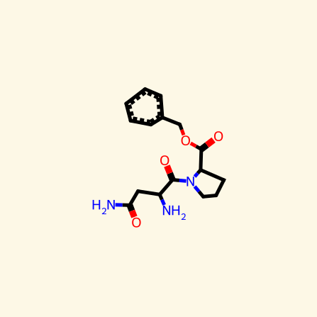 NC(=O)CC(N)C(=O)N1CCCC1C(=O)OCc1ccccc1